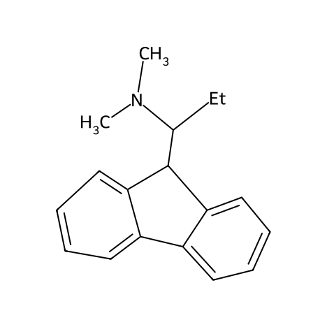 [CH2]CC(C1c2ccccc2-c2ccccc21)N(C)C